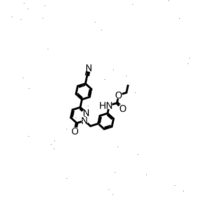 CCOC(=O)Nc1cccc(Cn2nc(-c3ccc(C#N)cc3)ccc2=O)c1